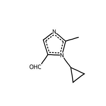 Cc1ncc(C=O)n1C1CC1